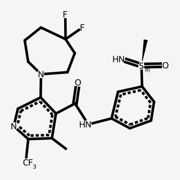 Cc1c(C(F)(F)F)ncc(N2CCCC(F)(F)CC2)c1C(=O)Nc1cccc([S@](C)(=N)=O)c1